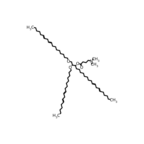 CCCCCC=CCC=CCCCCCCCCOCC(OCCCCCCCCC=CCC=CCCCCC)C(CCCCCCCCC=CCC=CCCCCC)OC(=O)CCCN(C)C